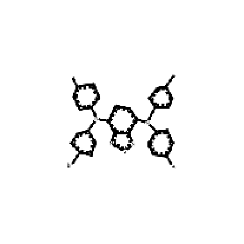 Cc1ccc(N(c2ccc(Br)cc2)c2ccc(N(c3ccc(C)cc3)c3ccc(Br)cc3)c3nsnc23)cc1